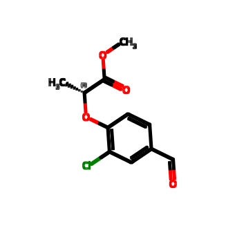 COC(=O)[C@@H](C)Oc1ccc(C=O)cc1Cl